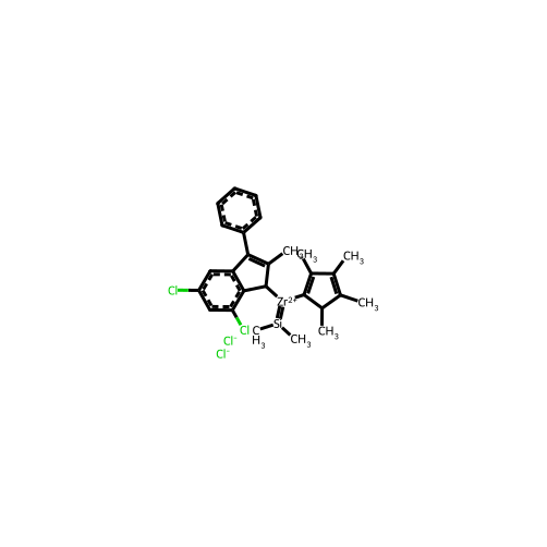 CC1=C(C)C(C)[C]([Zr+2]([CH]2C(C)=C(c3ccccc3)c3cc(Cl)cc(Cl)c32)=[Si](C)C)=C1C.[Cl-].[Cl-]